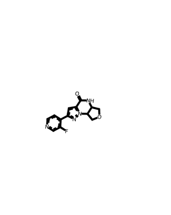 O=C1NC2COCC2n2nc(-c3ccncc3F)cc21